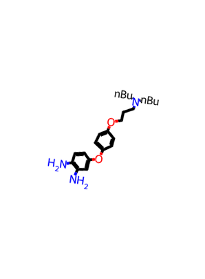 CCCCN(CCCC)CCCOc1ccc(Oc2ccc(N)c(N)c2)cc1